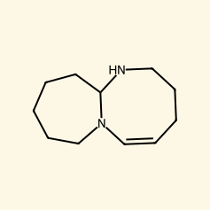 C1=CN2CCCCCC2NCCC1